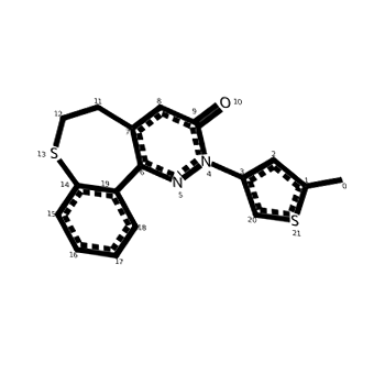 Cc1cc(-n2nc3c(cc2=O)CCSc2ccccc2-3)cs1